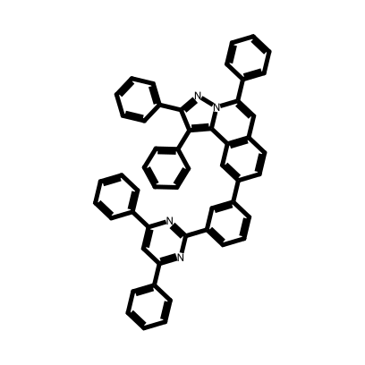 c1ccc(-c2cc(-c3ccccc3)nc(-c3cccc(-c4ccc5cc(-c6ccccc6)n6nc(-c7ccccc7)c(-c7ccccc7)c6c5c4)c3)n2)cc1